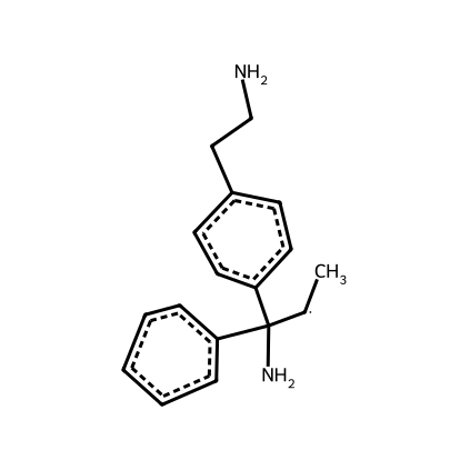 C[CH]C(N)(c1ccccc1)c1ccc(CCN)cc1